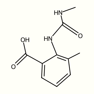 CNC(=O)Nc1c(C)cccc1C(=O)O